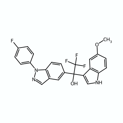 COc1ccc2[nH]cc(C(O)(c3ccc4c(cnn4-c4ccc(F)cc4)c3)C(F)(F)F)c2c1